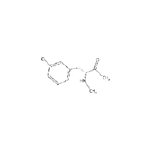 CN[C@H](Cc1cccc(Cl)c1)C(C)=O